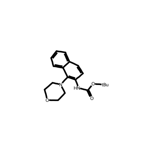 CC(C)(C)OC(=O)Nc1ccc2ccccc2c1N1CCOCC1